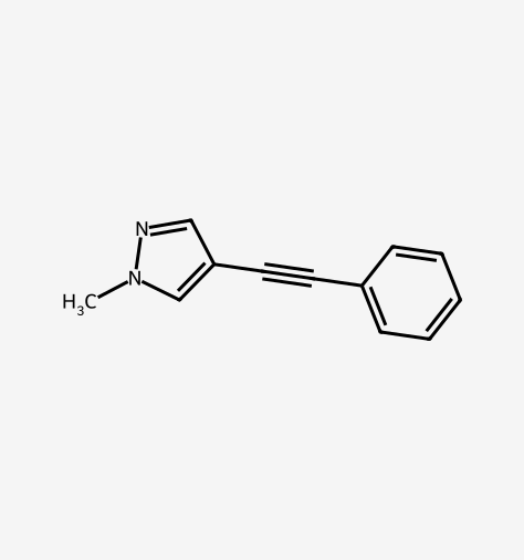 Cn1cc(C#Cc2ccccc2)cn1